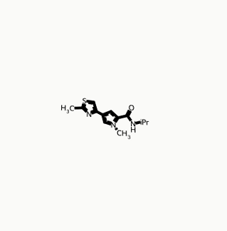 Cc1nc(-c2cc(C(=O)NC(C)C)n(C)c2)cs1